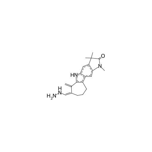 C=C1/C(=C\NN)CCCc2c1[nH]c1cc3c(cc21)N(C)C(=O)C3(C)C